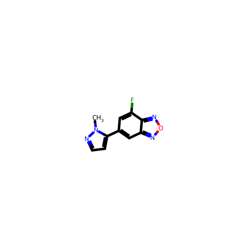 Cn1nccc1-c1cc(F)c2nonc2c1